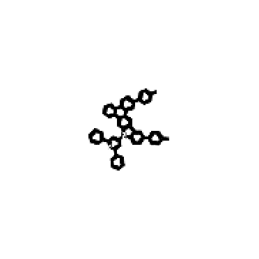 Cc1ccc(-c2ccc3c4ccccc4c4cc5c(cc4c3c2)c2cc(-c3ccc(C)cc3)ccc2n5-c2cc(-c3ccccc3)nc(-c3ccccc3)c2)cc1